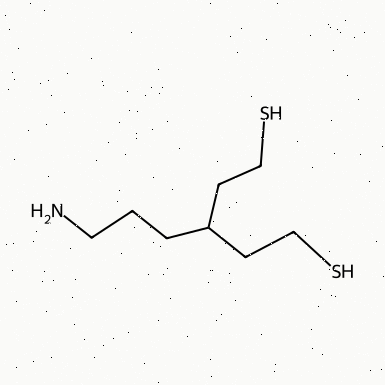 NCCCC(CCS)CCS